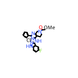 COCC(=O)N1CCc2c(nc(-c3ccccc3C(F)(F)F)nc2Nc2n[nH]c3ccc(F)cc23)C1